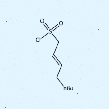 CCCCCC=CCS(=O)(=O)Cl